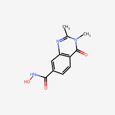 Cc1nc2cc(C(=O)NO)ccc2c(=O)n1C